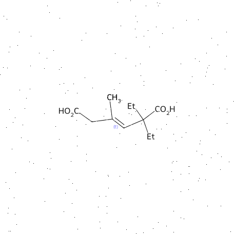 CCC(/C=C(\C)CC(=O)O)(CC)C(=O)O